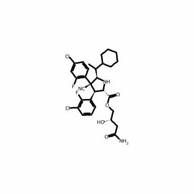 CC(C1CCCCC1)[C@H]1N[C@H](C(=O)OC[C@@H](O)CC(N)=O)[C@@H](c2cccc(Cl)c2F)[C@]1(C#N)c1ccc(Cl)cc1F